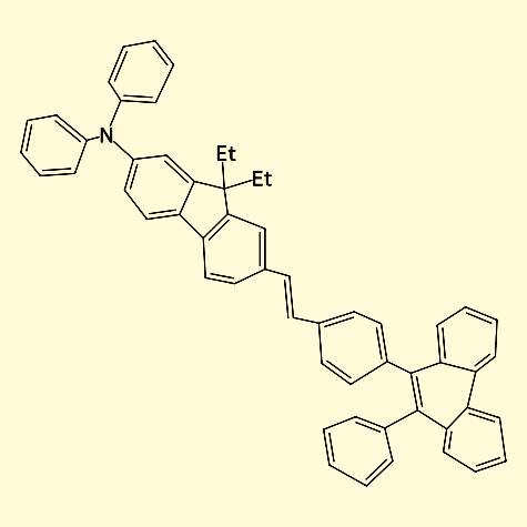 CCC1(CC)c2cc(/C=C/c3ccc(-c4c(-c5ccccc5)c5ccccc5c5ccccc45)cc3)ccc2-c2ccc(N(c3ccccc3)c3ccccc3)cc21